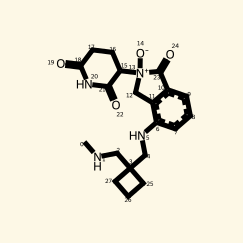 CNCC1(CNc2cccc3c2C[N+]([O-])(C2CCC(=O)NC2=O)C3=O)CCC1